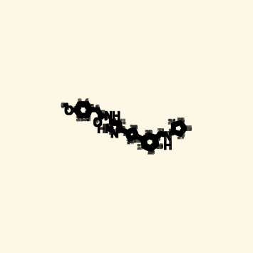 COc1ccc(CC(=O)Nc2cc(C3CC(c4cccc(CNC5CCCC5)c4)C3)n[nH]2)cc1